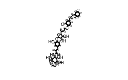 C/C(=C\c1ccc(O[C@@H]2O[C@H](/C(C)=C/COc3ccc(CNCc4ccccc4)cc3Cl)[C@@H](O)[C@@H]2O)c(O)c1)C(=O)N[C@@H]1[C@H](O)[C@@H](O)[C@H]2OCO[C@H]2[C@@H]1O